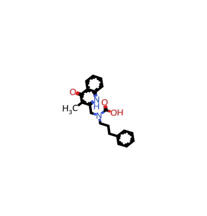 Cc1c(CN(CCCc2ccccc2)C(=O)O)[nH]c2ccccc2c1=O